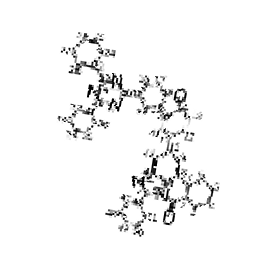 O=c1c2ccccc2c2cc(-c3ccc4oc5ccc(-c6nc(-c7ccccc7)nc(-c7ccccc7)n6)cc5c4c3)cc3nc(-c4ccccc4)n1c32